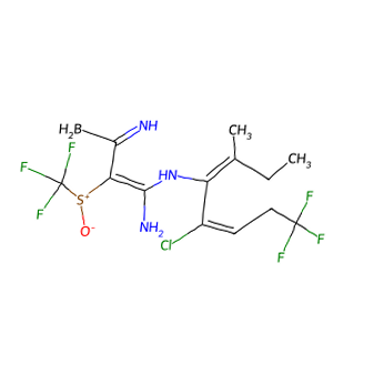 BC(=N)/C(=C(/N)NC(/C(Cl)=C\CC(F)(F)F)=C(\C)CC)[S+]([O-])C(F)(F)F